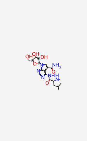 CNC(CC(C)C)C(=O)Nc1ncnc2c1c(C(N)=O)cn2[C@@H]1O[C@H](CO)C(O)[C@@H]1O